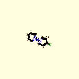 FC1=CCN(N2C=C[C]=CC2)C=C1